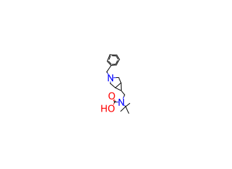 CC(C)(C)N(CC1C2CN(Cc3ccccc3)CC21)C(=O)O